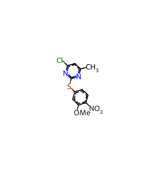 COc1cc(Sc2nc(C)cc(Cl)n2)ccc1[N+](=O)[O-]